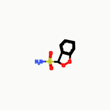 NS(=O)(=O)C1OOc2ccccc21